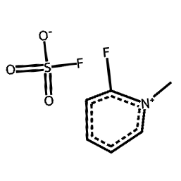 C[n+]1ccccc1F.O=S(=O)([O-])F